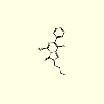 Nc1nc(-c2ccccc2)c(Br)c2nn(CCCF)c(=O)n12